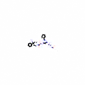 CC(=O)NCCNc1cc(NC(=O)C(=O)N2CCC(C#N)(c3ccccc3)CC2)nc(-c2ccccc2)n1